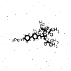 C=C(C)C(=O)OCC(CCC1CCC(C2CCC(CCCCC)CC2)CC1)(COC(=O)C(=C)C)COC(=O)C(=C)C